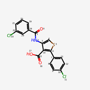 O=C(Nc1csc(-c2ccc(Cl)cc2)c1C(=O)O)c1cccc(Cl)c1